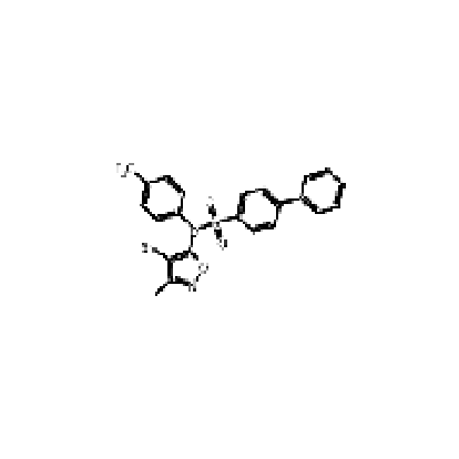 Cc1noc(N(c2ccc(C(F)(F)F)cc2)S(=O)(=O)c2ccc(-c3ccccc3)cc2)c1Br